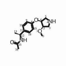 CO[C@@H]1CNC[C@@H]1Oc1ccc([C@H](C)NC(C)=O)cc1